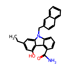 CCc1cc(O)c2c3c(C(N)=O)cccc3n(Cc3ccc4ccccc4c3)c2c1